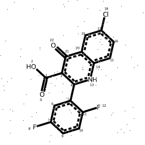 O=C(O)c1c(-c2cc(F)ccc2F)[nH]c2ccc(Cl)cc2c1=O